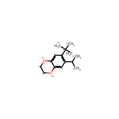 CC(C)c1cc2c(cc1C(C)(C)C)OCCO2